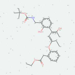 CCOC(=O)Cc1ccccc1O/C(=C/C(=C(\C)O)c1cccc(CNC(=O)OC(C)(C)C)c1O)CC